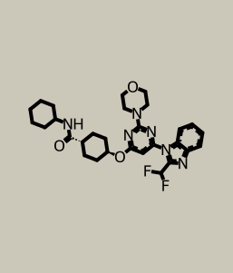 O=C(NC1CCCCC1)[C@H]1CC[C@H](Oc2cc(-n3c(C(F)F)nc4ccccc43)nc(N3CCOCC3)n2)CC1